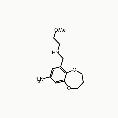 COCCNCc1cc(N)cc2c1OCCCO2